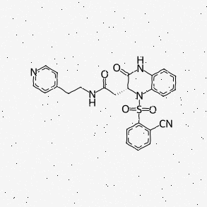 N#Cc1ccccc1S(=O)(=O)N1c2ccccc2NC(=O)[C@H]1CC(=O)NCCc1ccncc1